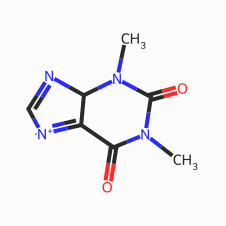 CN1C(=O)C2=[N+]C=NC2N(C)C1=O